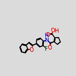 O=C(O)C1=C(C(=O)Nc2ccc(-c3cc4ccccc4o3)cc2F)CCC1